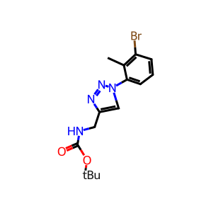 Cc1c(Br)cccc1-n1cc(CNC(=O)OC(C)(C)C)nn1